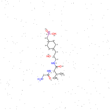 CC(C)[C@H](NC(=O)CN)C(=O)NC[C@H](O)CC1CCC(C[PH](=O)O)CC1